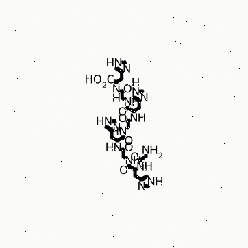 NCC(=O)NC(Cc1c[nH]cn1)C(=O)NCC(=O)NC(Cc1c[nH]cn1)C(=O)NCC(=O)NC(Cc1c[nH]cn1)C(=O)NCC(=O)NC(Cc1c[nH]cn1)C(=O)O